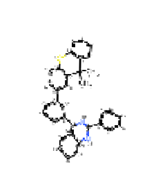 CC1(C)c2ccccc2Sc2ccc(-c3cccc(-c4nc(-c5ccccc5)nc5ccccc45)c3)cc21